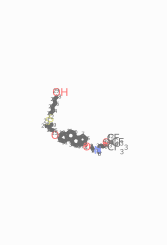 CN(CCOC1CCC2C3CCc4cc(OCCC(C)(C)SSCCCCCCO)ccc4C3CCC12C)CCOC(C(F)(F)F)(C(F)(F)F)C(F)(F)F